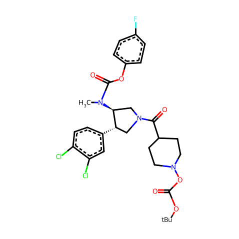 CN(C(=O)Oc1ccc(F)cc1)[C@H]1CN(C(=O)C2CCN(OC(=O)OC(C)(C)C)CC2)C[C@@H]1c1ccc(Cl)c(Cl)c1